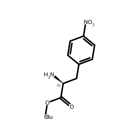 CC(C)(C)OC(=O)[C@@H](N)Cc1ccc([N+](=O)[O-])cc1